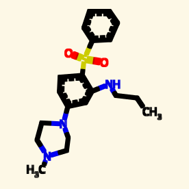 CCCNc1cc(N2CCN(C)CC2)ccc1S(=O)(=O)c1ccccc1